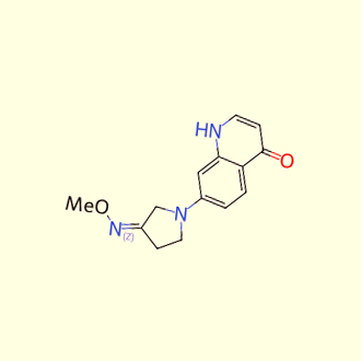 CO/N=C1/CCN(c2ccc3c(=O)cc[nH]c3c2)C1